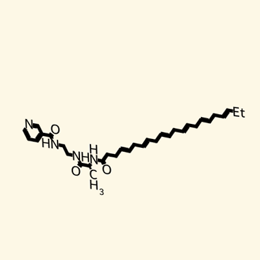 CCC=CCC=CCC=CCC=CCC=CCC=CCCC(=O)N[C@@H](C)C(=O)NCCNC(=O)c1cccnc1